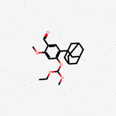 CCOC(OC)Oc1cc(OC)c(C=O)cc1C12CC3CC(CC(C3)C1)C2